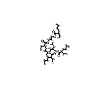 CCCCC(CC)C(=O)OCC(COC(=O)C(CC)CCCC)OCOC(COC(=O)C(CC)CCCC)COC(=O)C(CC)CCCC